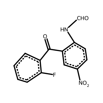 O=CNc1ccc([N+](=O)[O-])cc1C(=O)c1ccccc1F